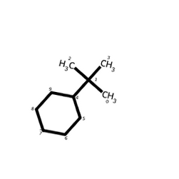 CC(C)(C)C1[CH]C[CH]CC1